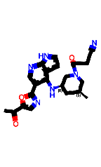 CC(=O)c1cnc(-c2cnc3[nH]ccc3c2N[C@@H]2C[C@H](C)CN(C(=O)CC#N)C2)o1